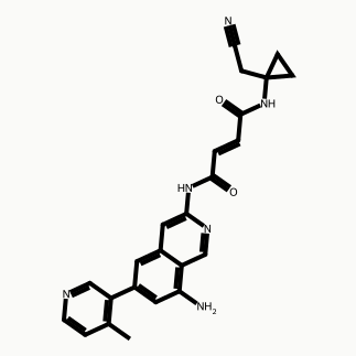 Cc1ccncc1-c1cc(N)c2cnc(NC(=O)/C=C/C(=O)NC3(CC#N)CC3)cc2c1